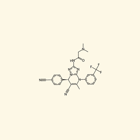 CC1=C(C#N)[C@@H](c2ccc(C#N)cc2)n2nc(NC(=O)CN(C)C)nc2N1c1cccc(C(F)(F)F)c1